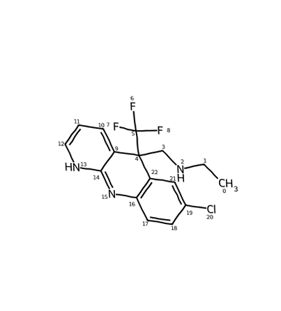 CCNCC1(C(F)(F)F)C2=CC=CNC2=Nc2ccc(Cl)cc21